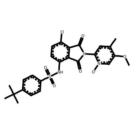 COc1c[n+]([O-])c(N2C(=O)c3c(Cl)ccc(NS(=O)(=O)c4ccc(C(C)(C)C)cc4)c3C2=O)cc1C